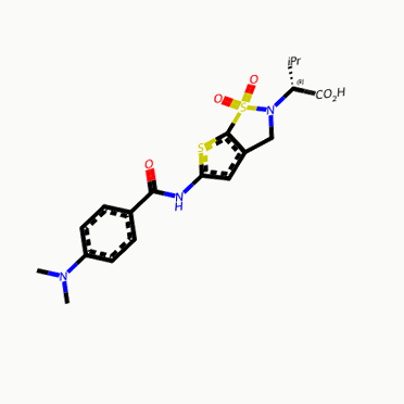 CC(C)[C@H](C(=O)O)N1Cc2cc(NC(=O)c3ccc(N(C)C)cc3)sc2S1(=O)=O